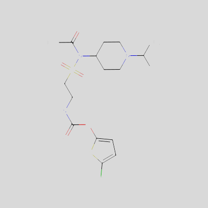 CC(=O)N(C1CCN(C(C)C)CC1)S(=O)(=O)CCNC(=O)Oc1ccc(Cl)s1